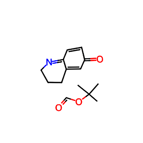 CC(C)(C)OC=O.O=C1C=CC2=NCCCC2=C1